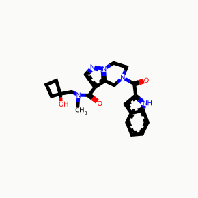 CN(CC1(O)CCC1)C(=O)c1cnn2c1CN(C(=O)c1cc3ccccc3[nH]1)CC2